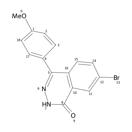 COc1ccc(-c2n[nH]c(=O)c3cc(Br)ccc23)cc1